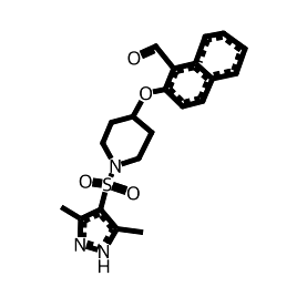 Cc1n[nH]c(C)c1S(=O)(=O)N1CCC(Oc2ccc3ccccc3c2C=O)CC1